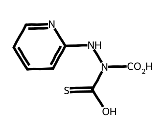 O=C(O)N(Nc1ccccn1)C(O)=S